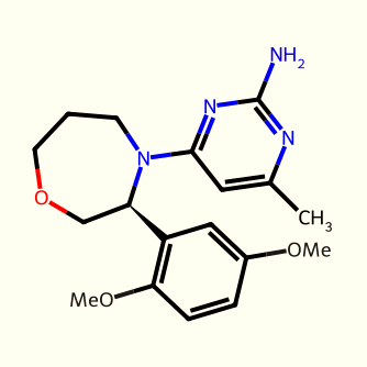 COc1ccc(OC)c([C@H]2COCCCN2c2cc(C)nc(N)n2)c1